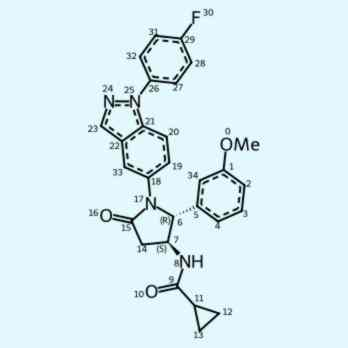 COc1cccc([C@@H]2[C@@H](NC(=O)C3CC3)CC(=O)N2c2ccc3c(cnn3-c3ccc(F)cc3)c2)c1